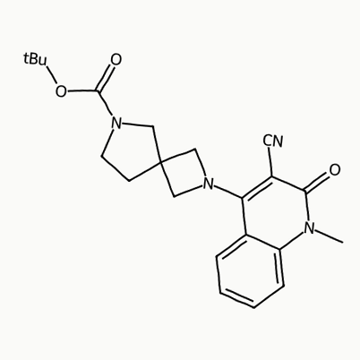 Cn1c(=O)c(C#N)c(N2CC3(CCN(C(=O)OC(C)(C)C)C3)C2)c2ccccc21